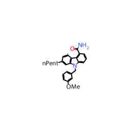 CCCCCc1c[c]c2c3c(C(N)=O)cccc3n(Cc3cccc(OC)c3)c2c1